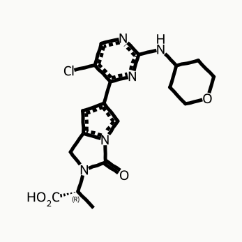 C[C@H](C(=O)O)N1Cc2cc(-c3nc(NC4CCOCC4)ncc3Cl)cn2C1=O